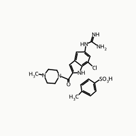 CN1CCN(C(=O)c2cc3cc(NC(=N)N)cc(Cl)c3[nH]2)CC1.Cc1ccc(S(=O)(=O)O)cc1